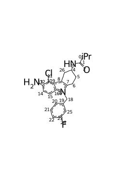 CC(C)C(=O)NC1CCc2c(c3c(Cl)c(N)ccc3n2Cc2cccc(F)c2)C1